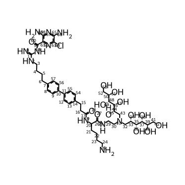 N=C(NCCCCc1ccc(-c2ccc(CCC(=O)NC(CCCCN)C(=O)NCCN(C[C@H](O)[C@@H](O)[C@H](O)[C@H](O)CO)C[C@H](O)[C@@H](O)[C@H](O)[C@H](O)CO)cc2)cc1)NC(=O)c1nc(Cl)c(N)nc1N